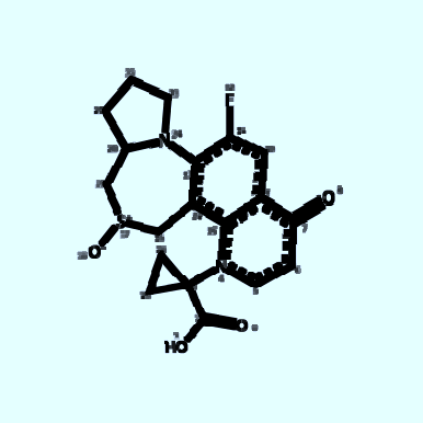 O=C(O)C1(n2ccc(=O)c3cc(F)c4c(c32)C[S+]([O-])CC2CCCN42)CC1